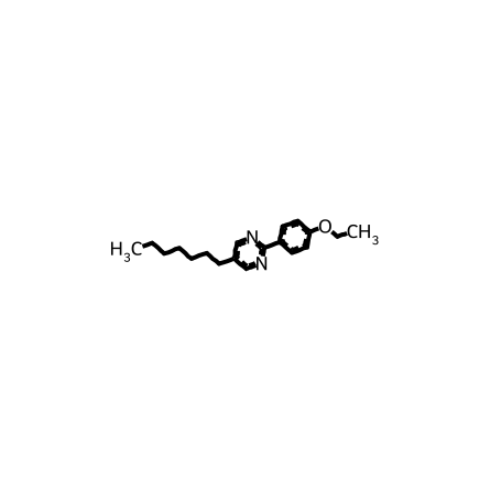 CCCCCCCc1cnc(-c2ccc(OCC)cc2)nc1